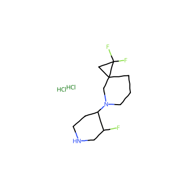 Cl.Cl.FC1CNCCC1N1CCCC2(C1)CC2(F)F